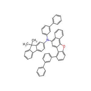 CC1(C)c2ccccc2-c2ccc(N(c3cccc(-c4ccccc4)c3)c3cc4c(oc5cccc(-c6cccc(-c7ccccc7)c6)c54)c4ccccc34)cc21